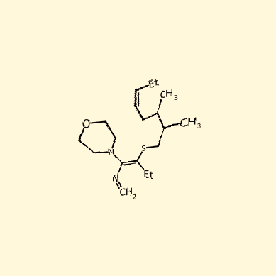 C=N/C(=C(\CC)SCC(C)[C@H](C)C/C=C\CC)N1CCOCC1